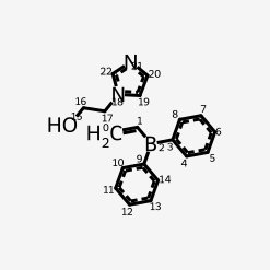 C=CB(c1ccccc1)c1ccccc1.OCCn1ccnc1